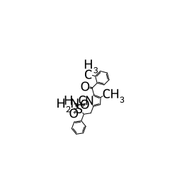 Cc1ccccc1C(=O)c1c(C)cc(CC(c2ccccc2)S(N)(=O)=O)n1C